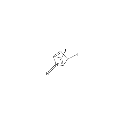 [N-]=[N+]1C2=CC(I)C1=C2I